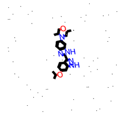 [CH2]C1CN(c2ccc3nc(-c4n[nH]c5cc(OC(C)C)ccc45)[nH]c3c2)C(C)CO1